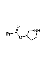 CC(C)C(=O)ON1CCNC1